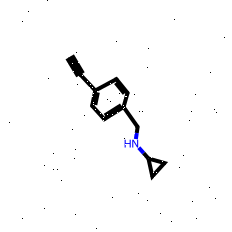 C#Cc1ccc(CNC2CC2)cc1